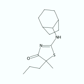 CCCC1(C)SC(NC2C3CCCC2CC3)=NC1=O